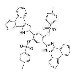 Cc1ccc(S(=O)(=O)Oc2cc(-c3nc4c5ccccc5c5ccccc5c4[nH]3)c(OS(=O)(=O)c3ccc(C)cc3)cc2-c2nc3c4ccccc4c4ccccc4c3[nH]2)cc1